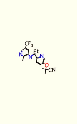 CC/C(=N\c1cc(C(F)(F)F)cnc1C)c1ccc(OC(C)(C)C#N)cn1